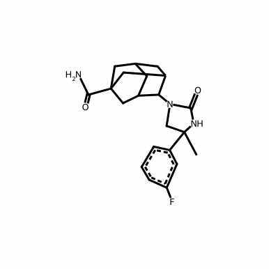 CC1(c2cccc(F)c2)CN(C2C3CC4CC2CC(C(N)=O)(C4)C3)C(=O)N1